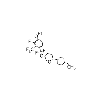 C=CC1CCC(C2CCC(OC(F)(F)c3ccc(OCC)c(F)c3C(F)(F)F)CO2)CC1